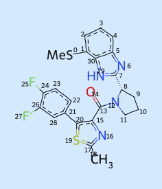 CSc1cccc2nc([C@@H]3CCCN3C(=O)c3nc(C)sc3-c3ccc(F)c(F)c3)[nH]c12